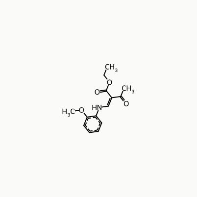 CCOC(=O)/C(=C\Nc1ccccc1OC)C(C)=O